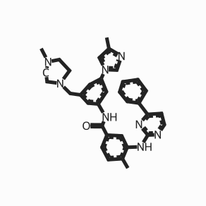 Cc1cn(-c2cc(CN3CCN(C)CC3)cc(NC(=O)c3ccc(C)c(Nc4nccc(-c5ccccc5)n4)c3)c2)cn1